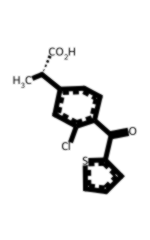 C[C@H](C(=O)O)c1ccc(C(=O)c2cccs2)c(Cl)c1